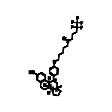 C[C@@]12[CH]CC[C@H]1[C@@H]1CCc3cc(O)ccc3[C@H]1[C@@H](c1ccc(OCCCCC[S+]([O-])CCCC(F)(F)C(F)(F)F)cc1)C2